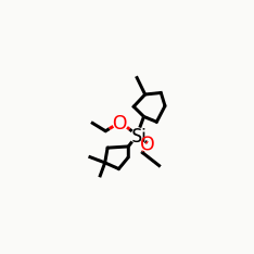 CCO[Si](OCC)(C1CCCC(C)C1)C1CCC(C)(C)C1